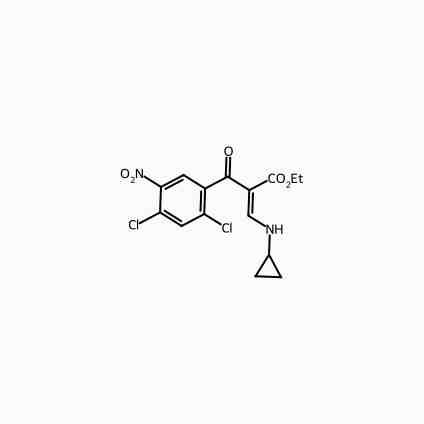 CCOC(=O)C(=CNC1CC1)C(=O)c1cc([N+](=O)[O-])c(Cl)cc1Cl